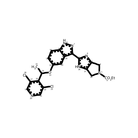 CCOC(=O)N1Cc2nc(-c3n[nH]c4ccc(OC(C)c5c(Cl)cncc5Cl)cc34)[nH]c2C1